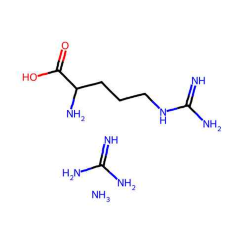 N.N=C(N)N.N=C(N)NCCCC(N)C(=O)O